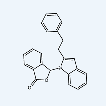 O=C1OC(n2c(CCc3ccccc3)cc3ccccc32)c2ccccc21